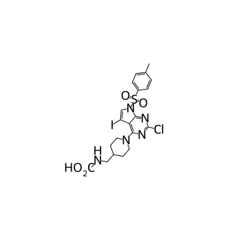 Cc1ccc(S(=O)(=O)n2cc(I)c3c(N4CCC(CNC(=O)O)CC4)nc(Cl)nc32)cc1